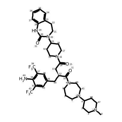 CN1CCC(N2CCCN(C(=O)[C@H](CC(=O)N3CCC(N4CCc5ccccc5NC4=O)CC3)Cc3cc(C(F)(F)F)c(N)c(C(F)(F)F)c3)CC2)CC1